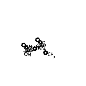 C[C@@H](O)[C@@H](C(=O)NCc1ccc(O[C@H](C)[C@@H](C(=O)NCc2cccc(C(F)(F)F)c2)N2CC3(CCCCC3)CC2=O)cc1C(F)(F)F)N1CC2(CCCCC2)CC1=O